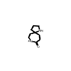 O=C1CCC2(CCCN2)CCN1